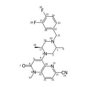 CC1CN(c2cc(=O)n(C)c3ccc(C#N)nc23)[C@@H](C)CN1Cc1ccc(F)c(F)c1